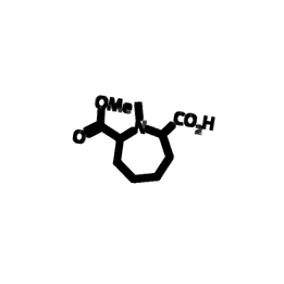 COC(=O)C1CCCCC(C(=O)O)N1C